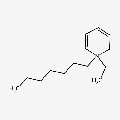 CCCCCCC[N+]1(CC)C=CC=CC1